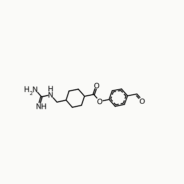 N=C(N)NCC1CCC(C(=O)Oc2ccc(C=O)cc2)CC1